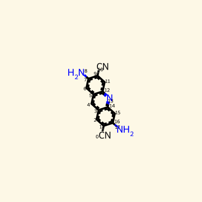 N#Cc1cc2cc3cc(N)c(C#N)cc3nc2cc1N